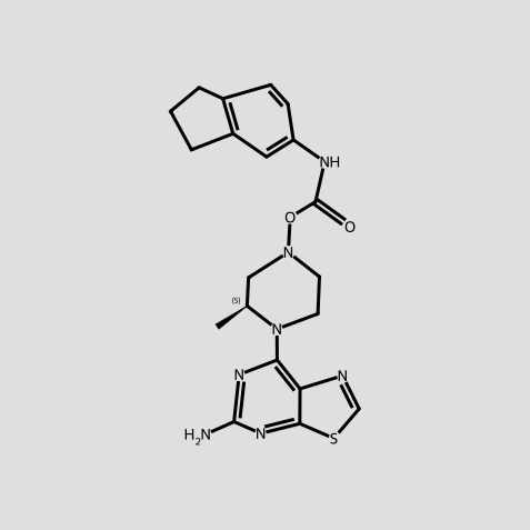 C[C@H]1CN(OC(=O)Nc2ccc3c(c2)CCC3)CCN1c1nc(N)nc2scnc12